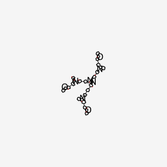 c1ccc2c(c1)oc1cc(-c3ccc4c(c3)c3ccccc3n4-c3ccc(-c4ccc(-c5ccc6nc(-c7ccc(-c8ccc(-n9c%10ccccc%10c%10cc(-c%11ccc%12c(c%11)oc%11ccccc%11%12)ccc%109)cc8)cc7)nc(-c7ccc(-c8ccc(-n9c%10ccccc%10c%10cc(-c%11ccc%12c(c%11)oc%11ccccc%11%12)ccc%109)cc8)cc7)c6c5)cc4)cc3)ccc12